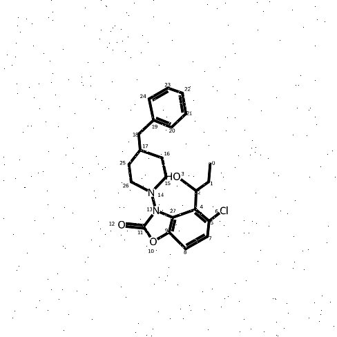 CCC(O)c1c(Cl)ccc2oc(=O)n(N3CCC(Cc4ccccc4)CC3)c12